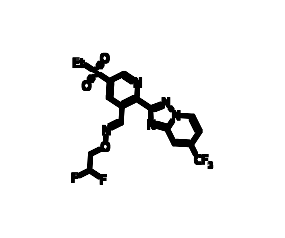 CCS(=O)(=O)c1cnc(-c2nc3cc(C(F)(F)F)ccn3n2)c(C=NOCC(F)F)c1